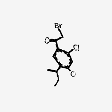 CCC(C)c1cc(C(=O)CBr)c(Cl)cc1Cl